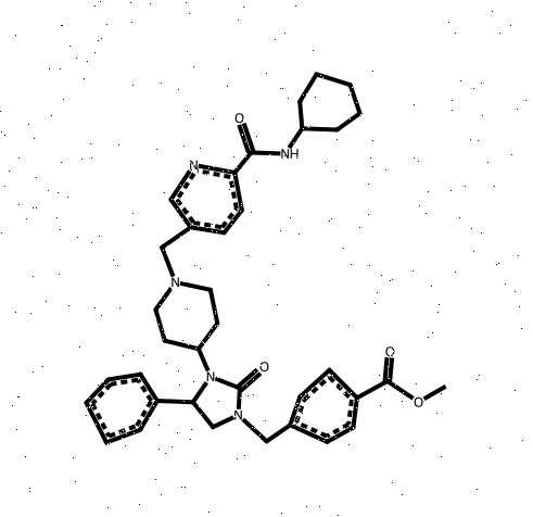 COC(=O)c1ccc(CN2CC(c3ccccc3)N(C3CCN(Cc4ccc(C(=O)NC5CCCCC5)nc4)CC3)C2=O)cc1